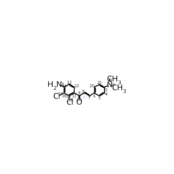 CN(C)c1ccc(/C=C/C(=O)c2ccc(N)c(Cl)c2Cl)cc1